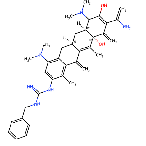 C=C(N)C1=C(O)C(N(C)C)[C@@H]2C[C@@H]3Cc4c(N(C)C)cc(NC(=N)NCc5ccccc5)c(C)c4C(=C)C3=C(C)[C@]2(O)C1=C